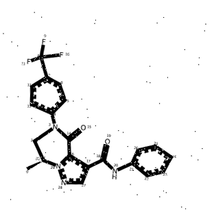 C[C@H]1CN(c2ccc(C(F)(F)F)cc2)C(=O)c2c(C(=O)Nc3ccccc3)cnn21